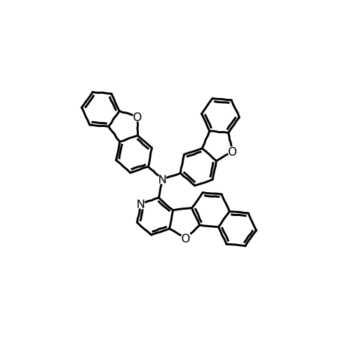 c1ccc2c(c1)ccc1c2oc2ccnc(N(c3ccc4c(c3)oc3ccccc34)c3ccc4oc5ccccc5c4c3)c21